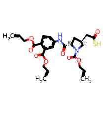 C=CCOC(=O)c1ccc(NC(=O)[C@@H]2C[C@@H](CC(=O)S)CN2C(=O)OCC=C)cc1C(=O)OCC=C